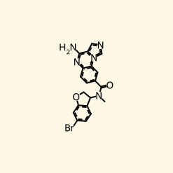 CN(C(=O)c1ccc2nc(N)c3cncn3c2c1)C1COc2cc(Br)ccc21